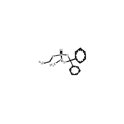 CCOP(=O)(OC)OC(C)(c1ccccc1)c1ccccc1